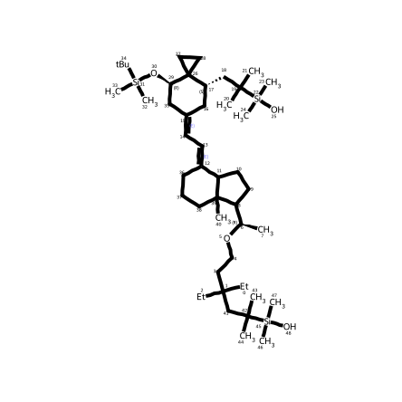 CCC(CC)(CCO[C@H](C)C1CCC2/C(=C/C=C3\C[C@@H](CC(C)(C)[Si](C)(C)O)C4(CC4)[C@H](O[Si](C)(C)C(C)(C)C)C3)CCCC21C)CC(C)(C)[Si](C)(C)O